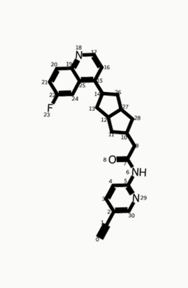 C#Cc1ccc(NC(=O)CC2CC3CC(c4ccnc5ccc(F)cc45)CC3C2)nc1